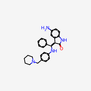 Nc1ccc2c(c1)/C(=C(/Nc1ccc(CN3CCCCC3)cc1)c1ccccc1)C(=O)N2